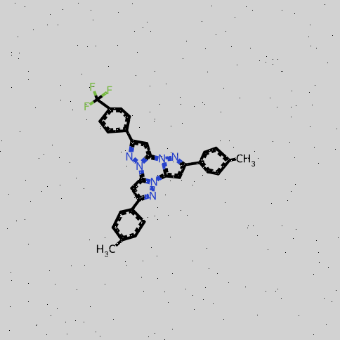 Cc1ccc(-c2cc3n(n2)c2cc(-c4ccc(C)cc4)nn2c2cc(-c4ccc(C(F)(F)F)cc4)nn32)cc1